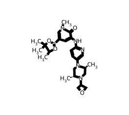 CC1OB(c2cc(Nc3ccc(N4C[C@@H](C)N(C5COC5)C[C@@H]4C)cn3)c(=O)n(C)c2)OC1(C)C